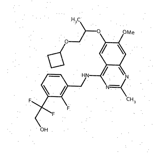 COc1cc2nc(C)nc(NCc3cccc(C(F)(F)CO)c3F)c2cc1OC(C)COC1CCC1